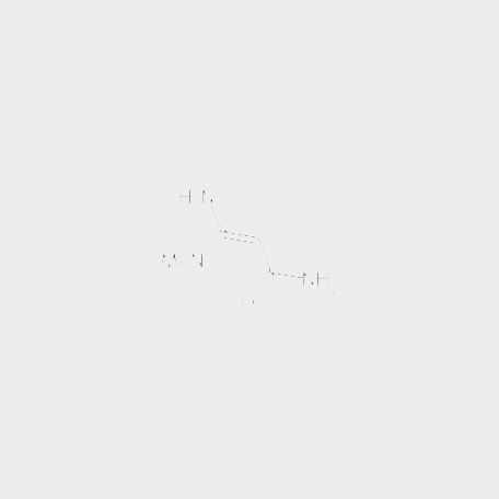 CN/C(N)=C\C(N)=O